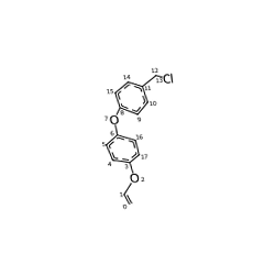 C=COc1ccc(Oc2ccc(CCl)cc2)cc1